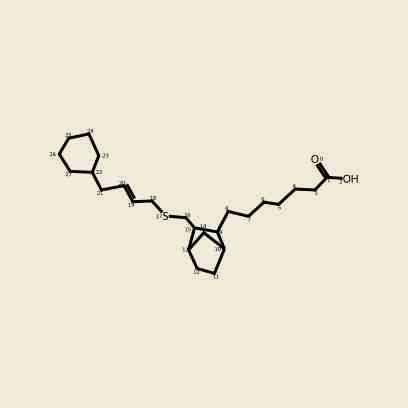 O=C(O)CCCCCCC1C2CCC(C2)C1CSC/C=C/CC1CCCCC1